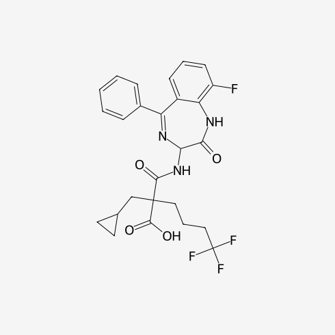 O=C1Nc2c(F)cccc2C(c2ccccc2)=NC1NC(=O)C(CCCC(F)(F)F)(CC1CC1)C(=O)O